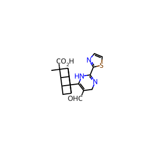 CC1(C(=O)O)C2C3CC4C1C2C34C1=C(C=O)CN=C(c2nccs2)N1